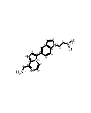 CCN(CC)CCn1ccc2cc(-c3cnc4c(CN)nccn34)ccc21